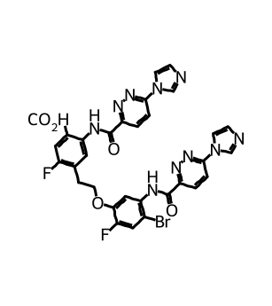 O=C(Nc1cc(OCCc2cc(NC(=O)c3ccc(-n4ccnc4)nn3)c(C(=O)O)cc2F)c(F)cc1Br)c1ccc(-n2ccnc2)nn1